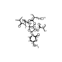 CC(C)C(=O)OC[C@@]1(N=[N+]=[N-])O[C@@H](n2ccc(N)nc2=O)[C@H](OC(=O)C(C)C)[C@@H]1OC(=O)C(C)C.Cl